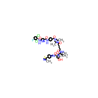 Cc1ncsc1-c1ccc(CNC(=O)[C@@H]2C[C@@H](O)CN2C(=O)[C@@H](NC(=O)CCCCC(=O)N2[C@H](C)CN(C(=O)c3ccc(NC(=O)c4cc5c(nn4)N[C@H](c4c(Cl)ccc(F)c4Cl)O5)cc3)C[C@@H]2C)C(C)(C)C)cc1